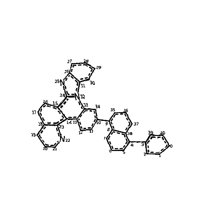 c1ccc(-c2cccc3c(-c4ccc5c6c(ccc7cccnc76)c6nc7ccccc7n6c5c4)cccc23)cc1